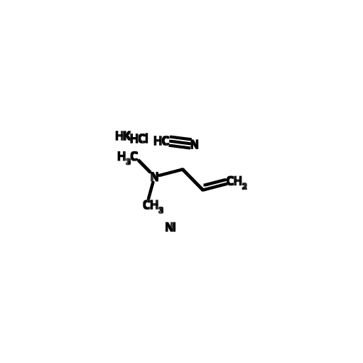 C#N.C=CCN(C)C.Cl.[KH].[Ni]